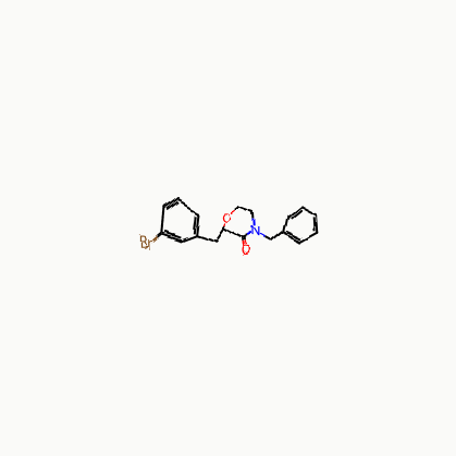 O=C1C(Cc2cccc(Br)c2)OCCN1Cc1ccccc1